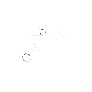 CN(C)[C@H]1CC[C@H](c2nc(C3(CN[C@@H]4C[C@H]4c4ccccc4)CC3)no2)CC1